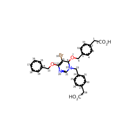 O=C(O)Cc1ccc(COC2C(Br)=C(OCc3ccccc3)N=CN2Cc2ccc(CC(=O)O)cc2)cc1